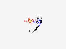 CCCCN1C=CN(C)C1.N.O=S(=O)(O)O